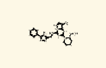 OC[C@H]1CCCCN1c1nc(NCc2nnc(-c3ccccc3)[nH]2)n2ncc(Br)c2n1